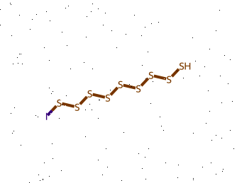 SSSSSSSSSI